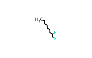 CCCCCCCC(F)CF